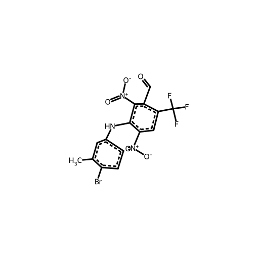 Cc1cc(Nc2c([N+](=O)[O-])cc(C(F)(F)F)c(C=O)c2[N+](=O)[O-])ccc1Br